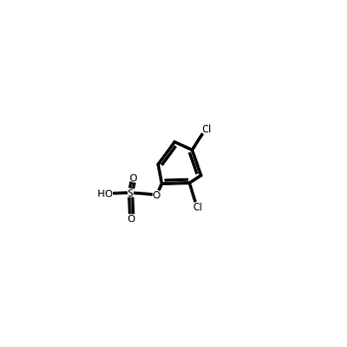 O=S(=O)(O)Oc1ccc(Cl)cc1Cl